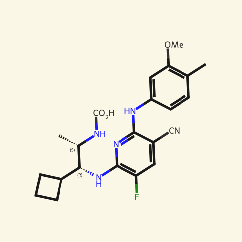 COc1cc(Nc2nc(N[C@H](C3CCC3)[C@H](C)NC(=O)O)c(F)cc2C#N)ccc1C